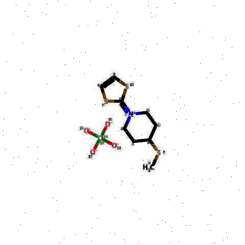 CSC1CC[N+](=c2sccs2)CC1.[O-][Cl+3]([O-])([O-])[O-]